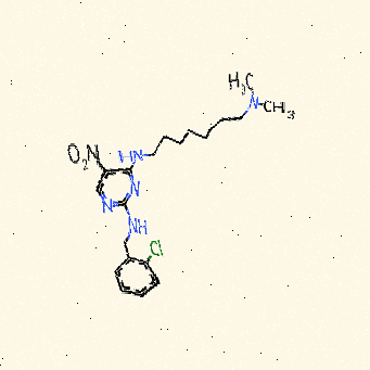 CN(C)CCCCCCCNc1nc(NCc2ccccc2Cl)ncc1[N+](=O)[O-]